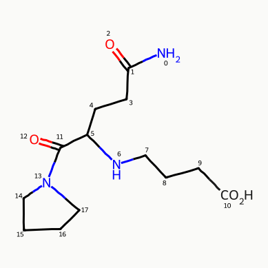 NC(=O)CCC(NCCCC(=O)O)C(=O)N1CCCC1